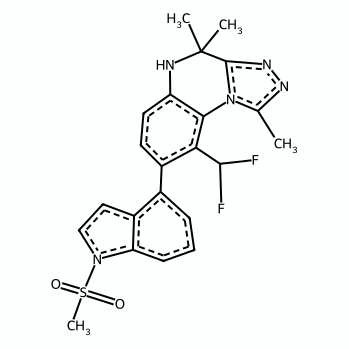 Cc1nnc2n1-c1c(ccc(-c3cccc4c3ccn4S(C)(=O)=O)c1C(F)F)NC2(C)C